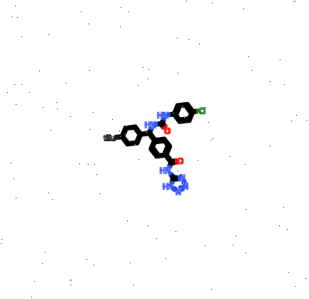 CC(C)(C)C1CCC(C(NC(=O)Nc2ccc(Cl)cc2)c2ccc(C(=O)Nc3nnn[nH]3)cc2)CC1